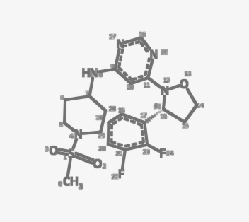 CS(=O)(=O)N1CCC(Nc2cc(N3OCC[C@@H]3c3cccc(F)c3F)ncn2)CC1